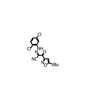 CC(C)(C)c1cc(C(=O)C(C#N)=NNc2cc(Cl)ccc2Cl)no1